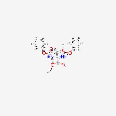 CCOC(=O)C(NC(=O)Oc1ccccc1)(NC(=O)Oc1ccccc1)C(C)CC